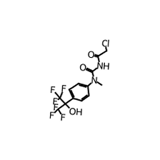 CN(C(=O)NC(=O)CCl)c1ccc(C(O)(C(F)(F)F)C(F)(F)F)cc1